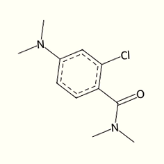 CN(C)C(=O)c1ccc(N(C)C)cc1Cl